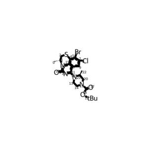 C[C@@H]1CSc2c(Br)c(Cl)cc3c(N4CCN(C(=O)OC(C)(C)C)C[C@@H]4C)nc(=O)n1c23